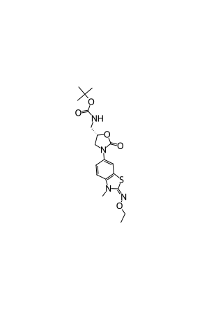 CCON=c1sc2cc(N3C[C@H](CNC(=O)OC(C)(C)C)OC3=O)ccc2n1C